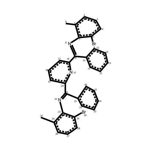 Cc1cccc(Br)c1/N=C(\c1ccccc1)c1cccc(/C(=N/c2c(C)cccc2Br)c2ccccc2)n1